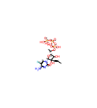 CC#CC1(O)C(O)[C@@H](C(C)OP(=O)(O)OP(=O)(O)OP(=O)(O)O)O[C@H]1n1cc(F)c(N)nc1=O